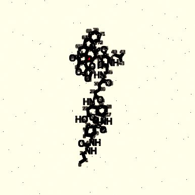 CCCNC(=O)Nc1cccc(S(=O)(=O)Nc2cccc(C(CC(=O)O)NC(=O)CCCC(=O)NCC(=O)N[C@@H](CC(C)C)C(=O)N[C@H](C(=O)O[C@]3(CC)C(=O)OCc4c3cc3n(c4=O)Cc4cc5ccccc5nc4-3)C(C)C)c2)c1